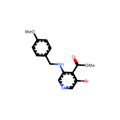 COC(=O)c1c(Br)cncc1NCc1ccc(OC)cc1